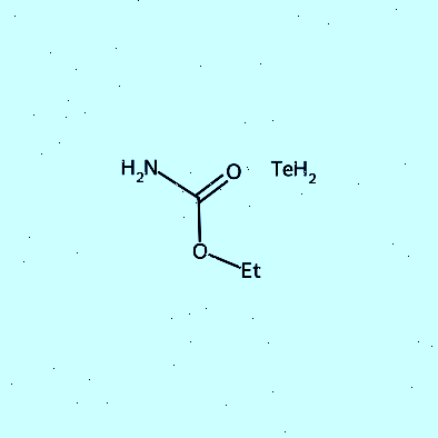 CCOC(N)=O.[TeH2]